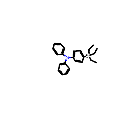 CC[Si](CC)(CC)c1ccc(N(c2ccccc2)c2ccccc2)cc1